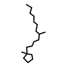 CCCCCCCC(C)CCCCC1(C)CCCC1